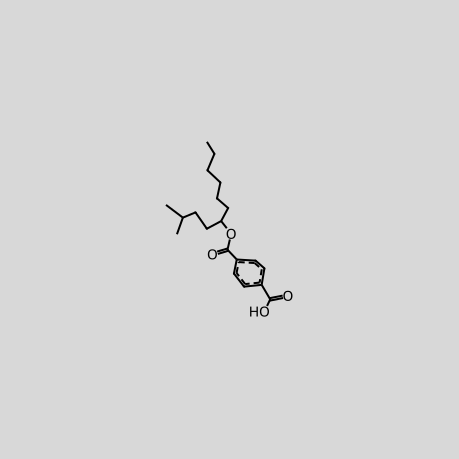 CCCCCCC(CCC(C)C)OC(=O)c1ccc(C(=O)O)cc1